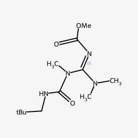 COC(=O)/N=C(/N(C)C)N(C)C(=O)NCC(C)(C)C